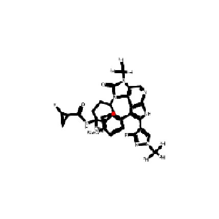 [2H]C([2H])([2H])n1cc(-c2[nH]c3ncc4c(c3c2-c2ccc(OC)cc2)n(C2CCC(C)(NC(=O)C3CC3F)CC2)c(=O)n4C([2H])([2H])[2H])c(F)n1